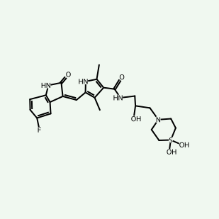 Cc1[nH]c(C=C2C(=O)Nc3ccc(F)cc32)c(C)c1C(=O)NCC(O)CN1CCS(O)(O)CC1